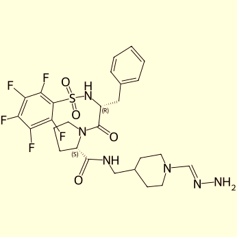 NN=CN1CCC(CNC(=O)[C@@H]2CCCN2C(=O)[C@@H](Cc2ccccc2)NS(=O)(=O)c2c(F)c(F)c(F)c(F)c2F)CC1